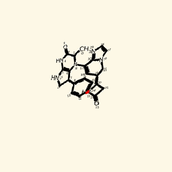 CC1C(=O)NC2=C(C(c3ccccc3)CN2)N1C1=CC(=C2CC(=O)N2)Cn2ccnc21